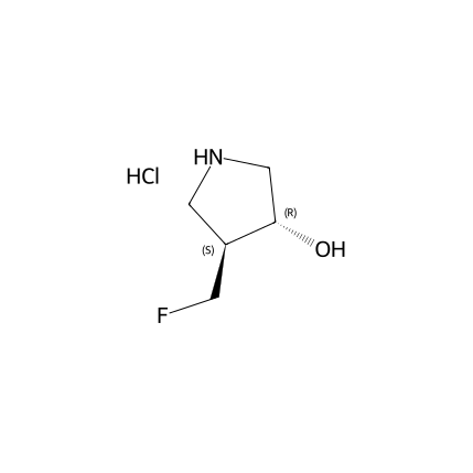 Cl.O[C@H]1CNC[C@@H]1CF